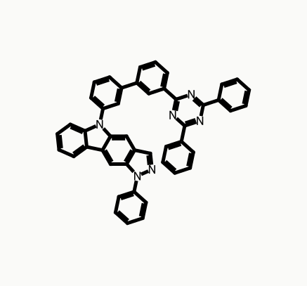 c1ccc(-c2nc(-c3ccccc3)nc(-c3cccc(-c4cccc(-n5c6ccccc6c6cc7c(cnn7-c7ccccc7)cc65)c4)c3)n2)cc1